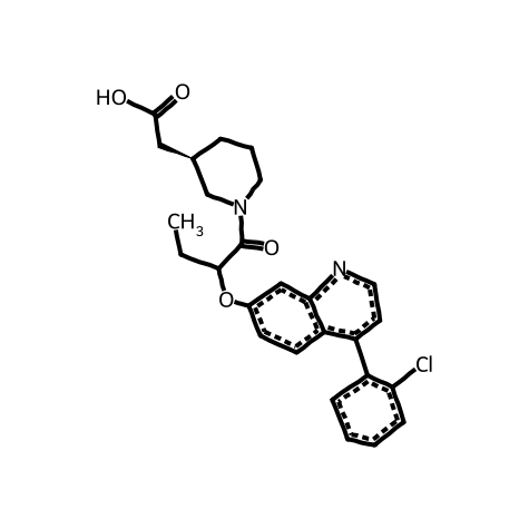 CCC(Oc1ccc2c(-c3ccccc3Cl)ccnc2c1)C(=O)N1CCC[C@H](CC(=O)O)C1